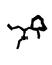 C=CCN(NCC)c1ccccc1C